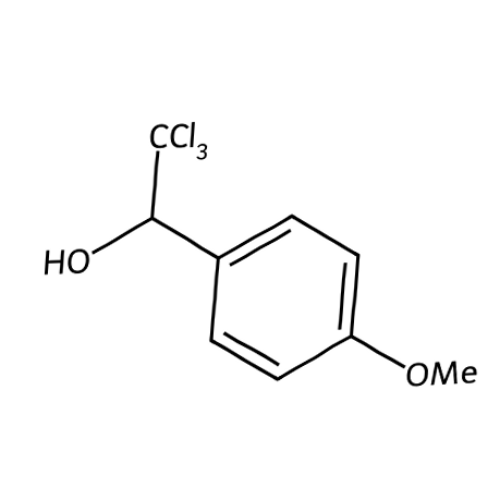 COc1ccc(C(O)C(Cl)(Cl)Cl)cc1